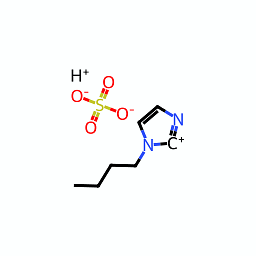 CCCCN1[C+]=NC=C1.O=S(=O)([O-])[O-].[H+]